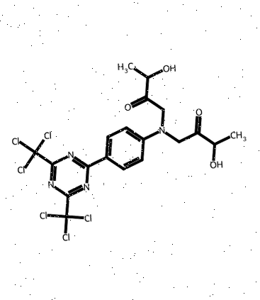 CC(O)C(=O)CN(CC(=O)C(C)O)c1ccc(-c2nc(C(Cl)(Cl)Cl)nc(C(Cl)(Cl)Cl)n2)cc1